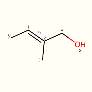 [CH2]/C=C(\C)CO